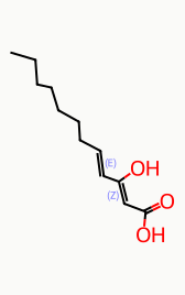 CCCCCCC/C=C/C(O)=C/C(=O)O